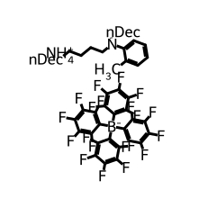 CCCCCCCCCCCCCCN(CCCCCCCCCC)c1ccccc1C.Fc1c(F)c(F)c([B-](c2c(F)c(F)c(F)c(F)c2F)(c2c(F)c(F)c(F)c(F)c2F)c2c(F)c(F)c(F)c(F)c2F)c(F)c1F.[NH4+]